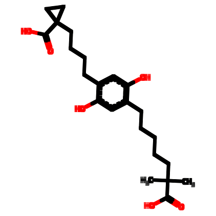 CC(C)(CCCCCc1cc(O)c(CCCCC2(C(=O)O)CC2)cc1O)C(=O)O